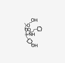 CC(COC[C@H](Cc1ccc(O)cc1)NC(=O)CCc1ccccc1)OCCO